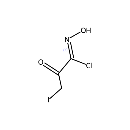 O=C(CI)/C(Cl)=N/O